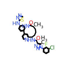 Cc1c(C(=O)N[C@H]2CCC[C@@H](C)C(=O)Nc3cc(Nc4nncs4)ccc3-c3ccnc2c3)nnn1-c1cccc(Cl)c1F